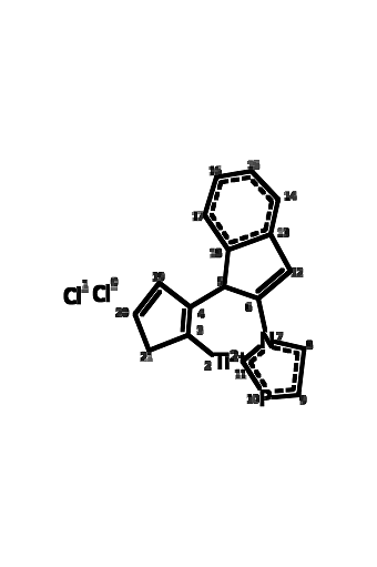 [Cl-].[Cl-].[Ti+2][C]1=C(C2C(n3ccpc3)=Cc3ccccc32)C=CC1